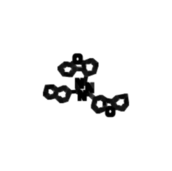 c1ccc2cc(-c3nc(-c4ccc5oc6ccccc6c5c4)nc(-c4cccc5oc6ccccc6c45)n3)ccc2c1